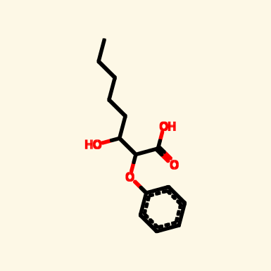 CCCCCC(O)C(Oc1ccccc1)C(=O)O